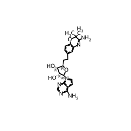 CC1(C)Oc2ccc(CC[C@H]3O[C@@H](n4ccc5c(N)ncnc54)[C@H](O)[C@@H]3O)cc2N=C1N